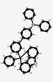 c1ccc(N(c2ccccc2)c2ccc(-c3cccc(C4(c5ccccc5)c5cccc6oc7cccc4c7c56)c3)cc2)cc1